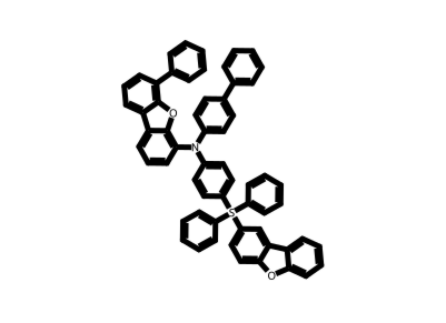 c1ccc(-c2ccc(N(c3ccc(S(c4ccccc4)(c4ccccc4)c4ccc5oc6ccccc6c5c4)cc3)c3cccc4c3oc3c(-c5ccccc5)cccc34)cc2)cc1